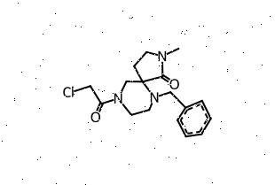 CN1CCC2(CN(C(=O)CCl)CCN2Cc2ccccc2)C1=O